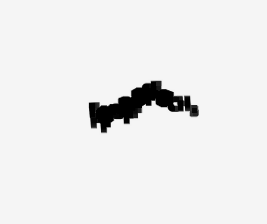 Cc1ccc(C(F)(F)Oc2ccc(-c3ccc(OCc4cc(F)c(F)c(F)c4)c(F)c3F)cc2)cc1